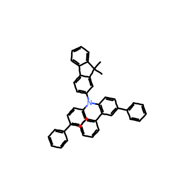 CC1(C)c2ccccc2-c2ccc(N(c3ccc(-c4ccccc4)cc3)c3ccc(-c4ccccc4)cc3-c3ccccc3)cc21